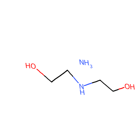 N.OCCNCCO